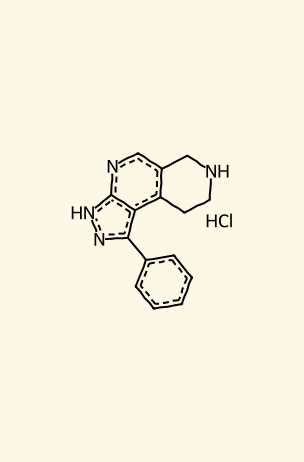 Cl.c1ccc(-c2n[nH]c3ncc4c(c23)CCNC4)cc1